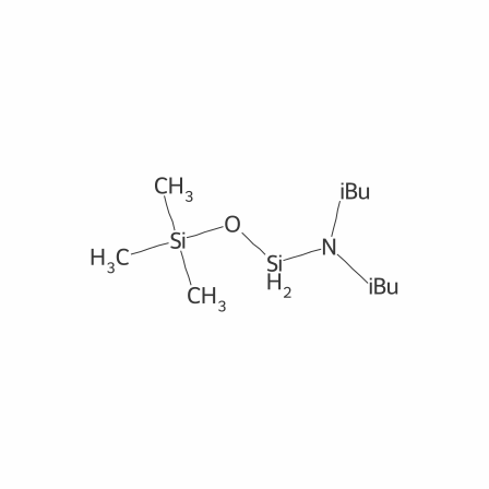 CCC(C)N([SiH2]O[Si](C)(C)C)C(C)CC